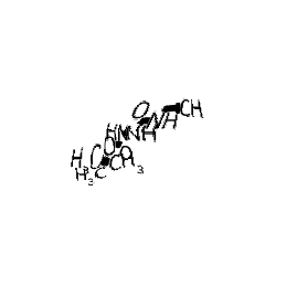 C#CCNC(=O)NNC(=O)OC(C)(C)C